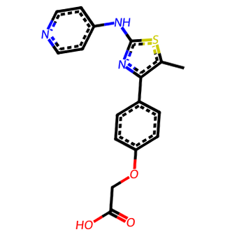 Cc1sc(Nc2ccncc2)nc1-c1ccc(OCC(=O)O)cc1